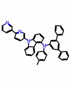 Cc1ccc(N(c2cc(-c3ccccc3)cc(-c3ccccc3)c2)c2cccc3c2c2ccccc2n3-c2ccc(-c3cccnc3)nc2)cc1